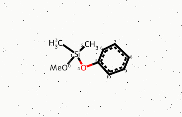 CO[Si](C)(C)Oc1ccccc1